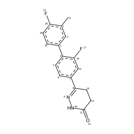 Cc1cc(-c2ccc(C3=NNC(=O)CC3)cc2F)ccc1F